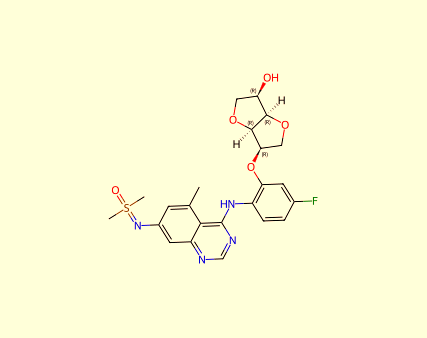 Cc1cc(N=S(C)(C)=O)cc2ncnc(Nc3ccc(F)cc3O[C@@H]3CO[C@H]4[C@@H]3OC[C@H]4O)c12